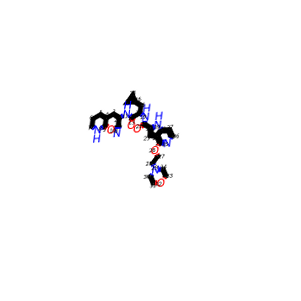 N#CC(CC1CCCNC1=O)NC(=O)C(CC1CC1)NC(=O)c1cc2c(OCCN3CCOCC3)nccc2[nH]1